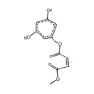 COC(=O)/C=C\C(=O)Oc1cc(O)cc(O)c1